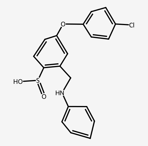 O=S(O)c1ccc(Oc2ccc(Cl)cc2)cc1CNc1ccccc1